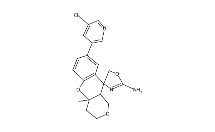 CC12CCOCC1C1(COC(N)=N1)c1cc(-c3cncc(Cl)c3)ccc1O2